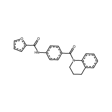 O=C(Nc1ccc(C(=O)N2CCCc3ccccc32)cc1)c1ccco1